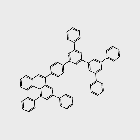 c1ccc(-c2cc(-c3ccccc3)cc(-c3cc(-c4ccccc4)nc(-c4ccc(-c5cc6ccccc6c6c(-c7ccccc7)cc(-c7ccccc7)nc56)cc4)n3)c2)cc1